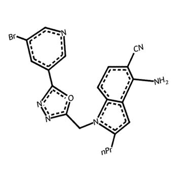 CCCc1cc2c(N)c(C#N)ccc2n1Cc1nnc(-c2cncc(Br)c2)o1